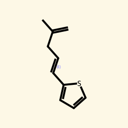 C=C(C)C/C=C/c1cccs1